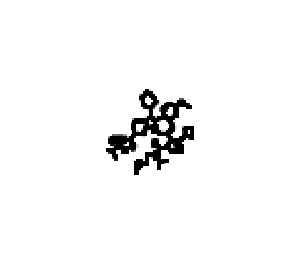 COCCN(C(=O)c1cnn(C2CCC2)c1C1=Cc2cc(OC)ccc2-c2c(C3CCCCC3)c3ccc(C(=O)NS(=O)(=O)C(C)C)cc3n2C1)C(C)C